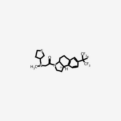 CN(CC(=O)N1CC[C@H]2c3ccc(C(F)(C(F)(F)F)C(F)(F)F)cc3CCC21)C1CCSC1